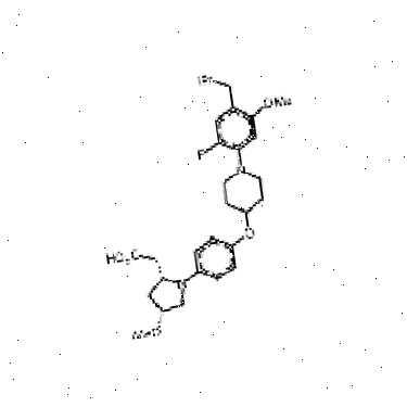 COc1cc(N2CCC(Oc3ccc(N4C[C@H](OC)C[C@@H]4CC(=O)O)cc3)CC2)c(F)cc1CC(C)C